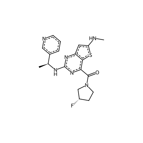 CNc1cc2nc(N[C@@H](C)c3cccnc3)nc(C(=O)N3CC[C@H](F)C3)c2s1